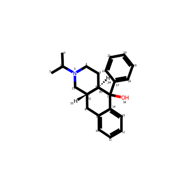 CC(C)N1CC[C@@H]2[C@H](Cc3ccccc3C2(O)c2ccccc2)C1